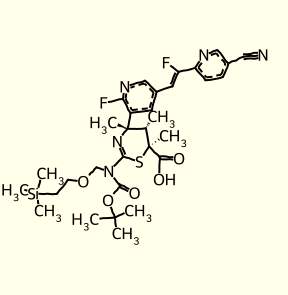 C[C@@H]1[C@@](C)(C(=O)O)SC(N(COCC[Si](C)(C)C)C(=O)OC(C)(C)C)=N[C@]1(C)c1cc(/C=C(\F)c2ccc(C#N)cn2)cnc1F